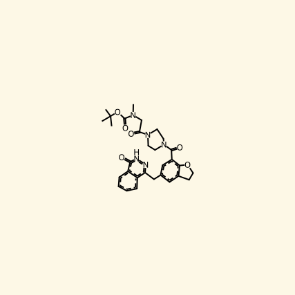 CN(CC(=O)N1CCN(C(=O)c2cc(Cc3n[nH]c(=O)c4ccccc34)cc3c2OCC3)CC1)C(=O)OC(C)(C)C